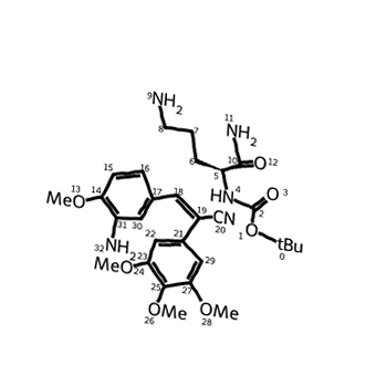 CC(C)(C)OC(=O)N[C@@H](CCCN)C(N)=O.COc1ccc(/C=C(/C#N)c2cc(OC)c(OC)c(OC)c2)cc1N